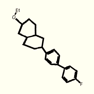 CCOC1CCC2CC(c3ccc(-c4ccc(F)cc4)cc3)CCC2C1